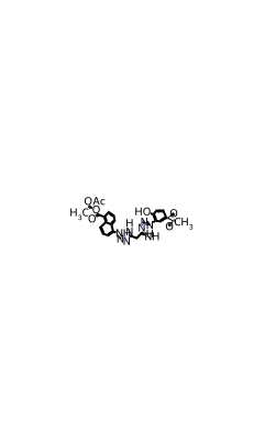 CC(=O)OC(C)OC(=O)c1cccc2c(N/N=N\C(=N)CC(=N)/N=N\Nc3cc(S(C)(=O)=O)ccc3O)cccc12